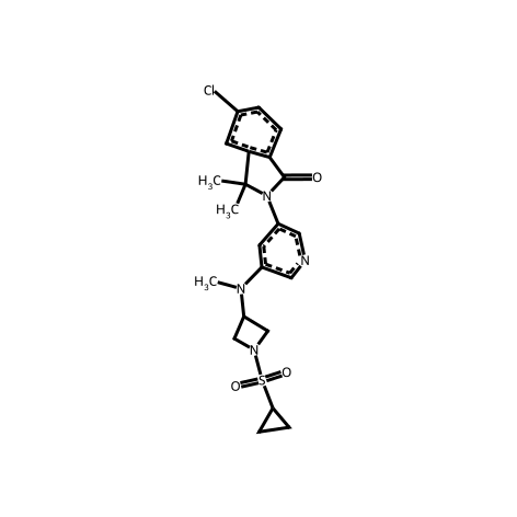 CN(c1cncc(N2C(=O)c3ccc(Cl)cc3C2(C)C)c1)C1CN(S(=O)(=O)C2CC2)C1